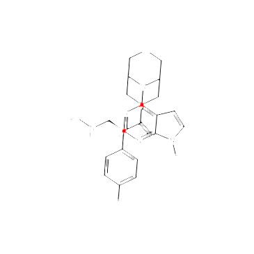 CCn1ccc2c(N3C4COCC3CN(C(=O)[C@H](CNC(C)C)c3ccc(Cl)cc3)C4)ncnc21